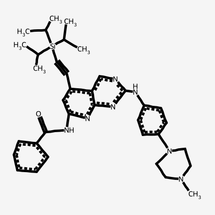 CC(C)[Si](C#Cc1cc(NC(=O)c2ccccc2)nc2nc(Nc3ccc(N4CCN(C)CC4)cc3)ncc12)(C(C)C)C(C)C